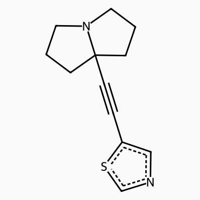 C(#CC12CCCN1CCC2)c1cncs1